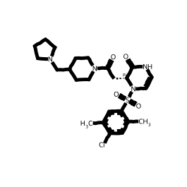 Cc1cc(S(=O)(=O)N2C=CNC(=O)[C@H]2CC(=O)N2CCC(CN3CCCC3)CC2)c(C)cc1Cl